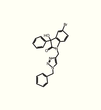 O=C1N(Cc2cn(Cc3ccccc3)nn2)c2ccc(Br)cc2C1(O)c1ccccc1